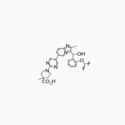 Cc1nc2ccc(-c3cnc(N4CCC(C)(C(=O)O)CC4)nc3)cn2c1C(O)c1ccccc1OC(F)F